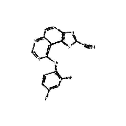 N#Cc1nc2ccc3ncnc(Nc4ccc(F)cc4F)c3c2s1